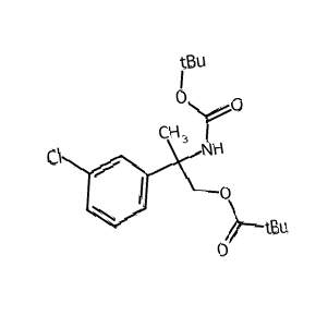 CC(C)(C)OC(=O)NC(C)(COC(=O)C(C)(C)C)c1cccc(Cl)c1